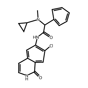 CN(C1CC1)C(C(=O)Nc1cc2cc[nH]c(=O)c2cc1Cl)c1ccccc1